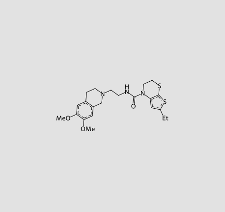 CCc1cc2c(s1)SCCN2C(=O)NCCN1CCc2cc(OC)c(OC)cc2C1